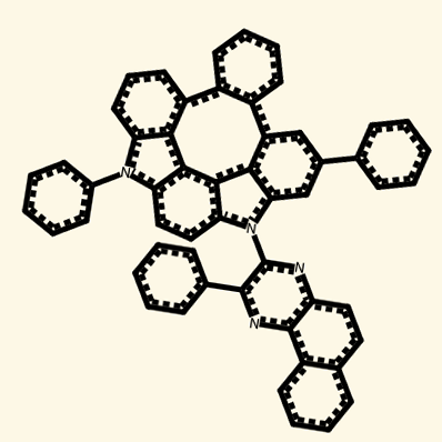 c1ccc(-c2cc3c4ccccc4c4cccc5c4c4c6c3c(c2)n(-c2nc3ccc7ccccc7c3nc2-c2ccccc2)c6ccc4n5-c2ccccc2)cc1